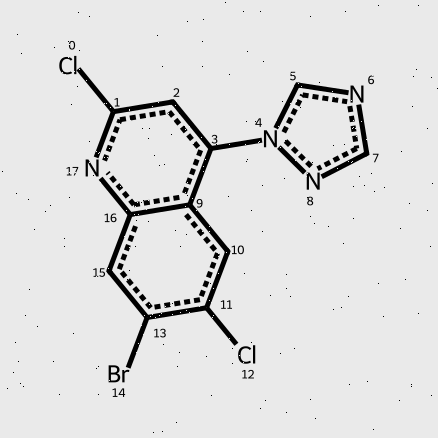 Clc1cc(-n2cncn2)c2cc(Cl)c(Br)cc2n1